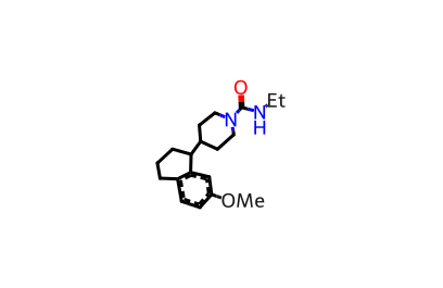 CCNC(=O)N1CCC(C2CCCc3ccc(OC)cc32)CC1